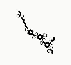 C=CC(=O)OCCCCCCOc1ccc(C(=O)Oc2ccc(OC(=O)c3ccc(OC(=O)C=C)c(OC(=O)C=C)c3)c(CC)c2)cc1